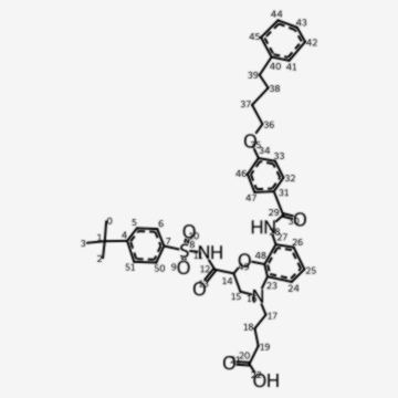 CC(C)(C)c1ccc(S(=O)(=O)NC(=O)C2CN(CCCC(=O)O)c3cccc(NC(=O)c4ccc(OCCCCc5ccccc5)cc4)c3O2)cc1